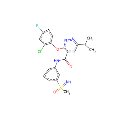 CC(C)c1cc(C(=O)Nc2cccc(S(C)(=N)=O)c2)c(Oc2ccc(F)cc2Cl)nn1